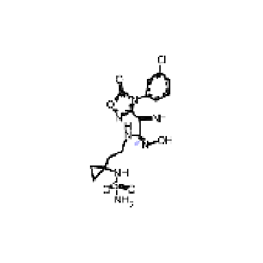 N=C(/C(=N\O)NCCC1(NS(N)(=O)=O)CC1)c1noc(=O)n1-c1cccc(Cl)c1